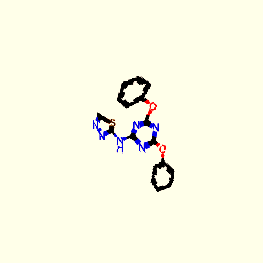 c1ccc(Oc2nc(Nc3nncs3)nc(Oc3ccccc3)n2)cc1